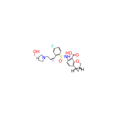 O=C(O)c1c(N[S+]([O-])c2ccc(F)cc2/C=C\CN2CC[C@H](CO)C2)ccc2c1OC[C@@H]1C[C@H]21